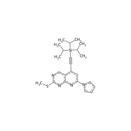 CSc1ncc2c(C#C[Si](C(C)C)(C(C)C)C(C)C)cc(-n3cccc3)nc2n1